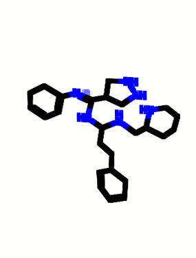 C1=CCCC(/N=C(\NC(CCC2C=CC=CC2)NCC2CCCCN2)C2CNNC2)=C1